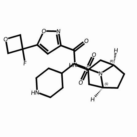 O=C(NC1C[C@H]2CC[C@@H](C1)N2S(=O)(=O)CC1CCNCC1)c1cc(C2(F)COC2)on1